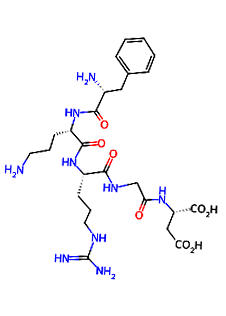 N=C(N)NCCC[C@H](NC(=O)[C@H](CCCN)NC(=O)[C@H](N)Cc1ccccc1)C(=O)NCC(=O)N[C@@H](CC(=O)O)C(=O)O